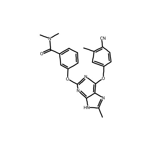 Cc1nc2c(Oc3ccc(C#N)c(C)c3)nc(Oc3cccc(C(=O)N(C)C)c3)nc2[nH]1